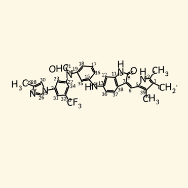 [CH2]c1c(C)[nH]c(C=C2C(=O)Nc3cc(Nc4cccc(N(C=O)c5cc(-n6cnc(C)c6)cc(C(F)(F)F)c5)c4)ccc32)c1C